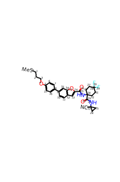 CSCCCOc1ccc(-c2ccc3cc(C(=O)NC4(C(=O)NC5(C#N)CC5)CCC(F)(F)CC4)oc3c2)cc1